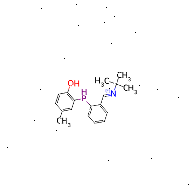 Cc1ccc(O)c(Pc2ccccc2/C=N/C(C)(C)C)c1